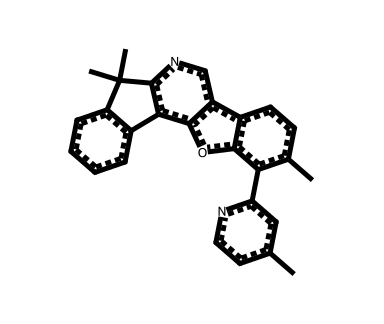 Cc1ccnc(-c2c(C)ccc3c2oc2c4c(ncc23)C(C)(C)c2ccccc2-4)c1